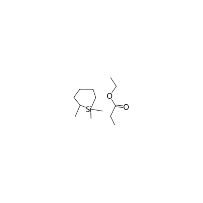 CC1CCCC[Si]1(C)C.CCOC(=O)CC